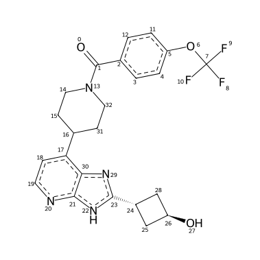 O=C(c1ccc(OC(F)(F)F)cc1)N1CCC(c2ccnc3[nH]c([C@H]4C[C@H](O)C4)nc23)CC1